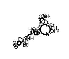 CCS[C@H](c1ccc(S(C)(=O)=O)cc1)[C@@H](CF)N1C=C(CCN(C)[C@H]2C[C@@H](C)O[C@@H](O[C@@H]3[C@@H](C)[C@H](O[C@H]4C[C@@](C)(OC)[C@@H](O)[C@H](C)O4)[C@@H](C)C(=O)O[C@H](CC)[C@H](P)[C@H](O)[C@@H](C)N(C)C[C@H](C)C[C@@]3(C)O)[C@@H]2O)NN1